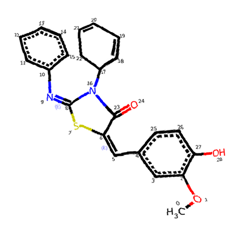 COc1cc(/C=C2/S/C(=N/c3ccccc3)N(C3C=CC=CC3)C2=O)ccc1O